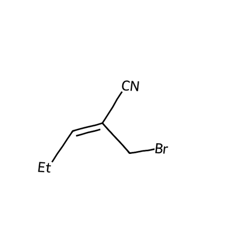 CCC=C(C#N)CBr